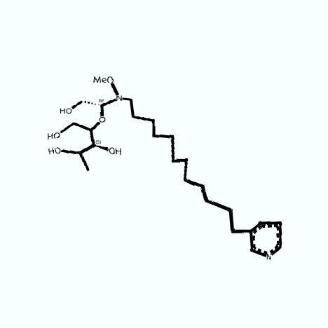 CON(CCCCCCCCCCCCc1cccnc1)[C@@H](CO)OC(CO)[C@@H](O)C(C)O